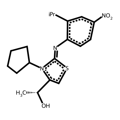 CC(C)c1cc([N+](=O)[O-])ccc1N=c1scc([C@@H](C)O)n1C1CCCC1